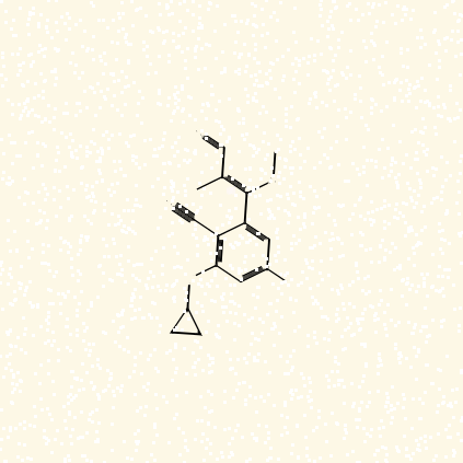 CN/C(=C(/C)C=N)c1cc(Cl)cc(OC2CC2)c1C#N